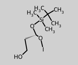 CC(C)(C)[Si](C)(C)O[C@@H](CCO)OI